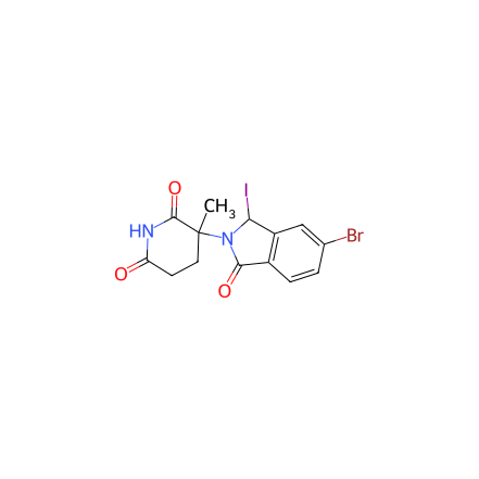 CC1(N2C(=O)c3ccc(Br)cc3C2I)CCC(=O)NC1=O